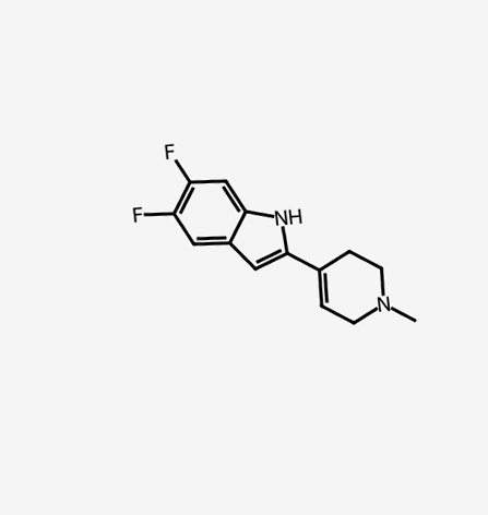 CN1CC=C(c2cc3cc(F)c(F)cc3[nH]2)CC1